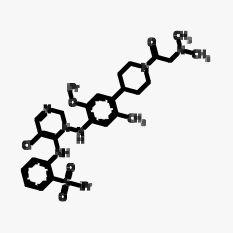 Cc1cc(NN2CN=CC(Cl)=C2Nc2ccccc2S(=O)(=O)C(C)C)c(OC(C)C)cc1C1CCN(C(=O)CN(C)C)CC1